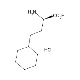 Cl.N[C@H](CCC1CCCCC1)C(=O)O